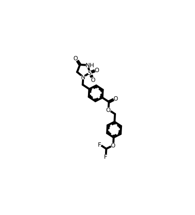 O=C1CN(Cc2ccc(C(=O)OCc3ccc(OC(F)F)cc3)cc2)S(=O)(=O)N1